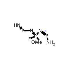 COP(F)(=NP=N)/N=P\N